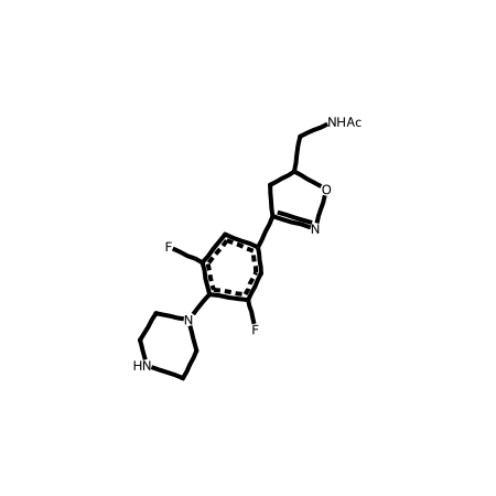 CC(=O)NCC1CC(c2cc(F)c(N3CCNCC3)c(F)c2)=NO1